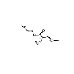 COCCOC(=O)[C@@H](N)COC